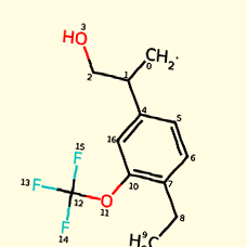 [CH2]C(CO)c1ccc(CC)c(OC(F)(F)F)c1